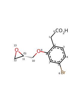 O=C(O)Cc1ccc(Br)cc1OC[C@@H]1CO1